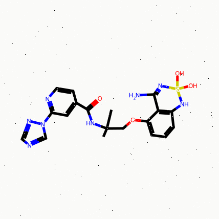 CC(C)(COc1cccc2c1C(N)=NS(O)(O)N2)NC(=O)c1ccnc(-n2cncn2)c1